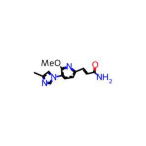 COc1nc(/C=C/C(N)=O)ccc1-n1cnc(C)c1